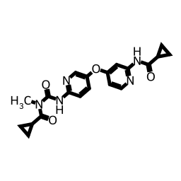 CN(C(=O)Nc1ccc(Oc2ccnc(NC(=O)C3CC3)c2)cn1)C(=O)C1CC1